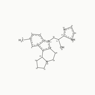 Cc1ccc2c(c1)c1c(n2CC(O)c2ncc[nH]2)CCN2CCCC12